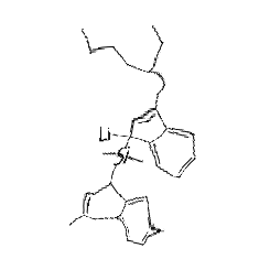 [Li][C]1([Si](C)(C)C2C=C(C)c3ccccc32)C=C(CC(CC)CCCC)c2ccccc21